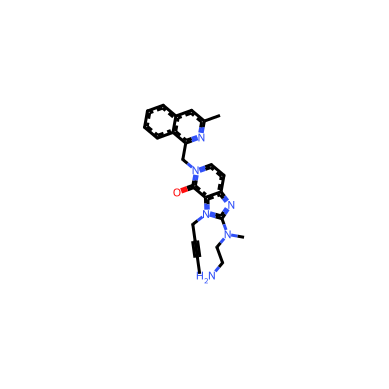 CC#CCn1c(N(C)CCN)nc2ccn(Cc3nc(C)cc4ccccc34)c(=O)c21